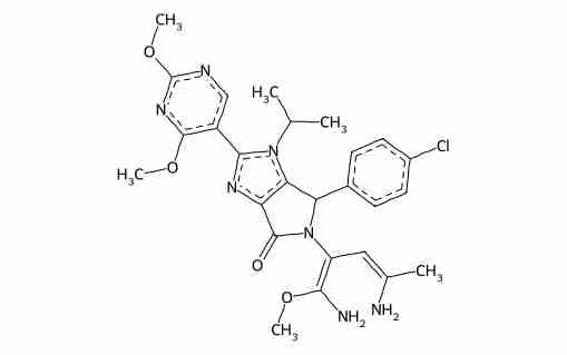 CO/C(N)=C(/C=C(/C)N)N1C(=O)c2nc(-c3cnc(OC)nc3OC)n(C(C)C)c2C1c1ccc(Cl)cc1